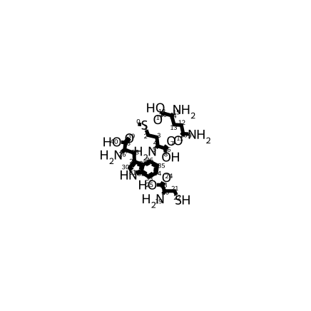 CSCCC(N)C(=O)O.NC(=O)CCC(N)C(=O)O.NC(CS)C(=O)O.NC(Cc1c[nH]c2ccccc12)C(=O)O